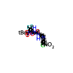 CC(C)(C)OC(=O)Nc1cc(F)c(F)cc1C(=O)NCC(=O)NCC1CCN(Cc2ccc(Cl)c([N+](=O)[O-])c2)CC1